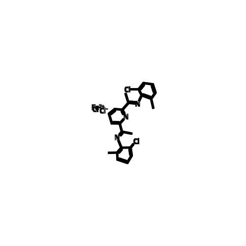 C/C(=N\c1c(C)cccc1Cl)c1cccc(/C(C)=N/c2c(C)cccc2Cl)n1.[Cl-].[Cl-].[Fe+2]